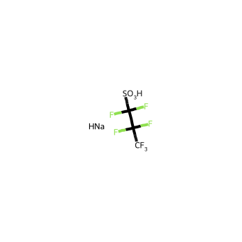 O=S(=O)(O)C(F)(F)C(F)(F)C(F)(F)F.[NaH]